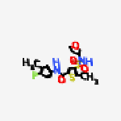 Cc1cc(NC(=O)c2cc(S(=O)(=O)N[C@H]3CCOC3)c(C)s2)ccc1F